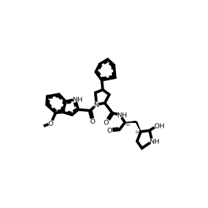 COc1cccc2[nH]c(C(=O)N3CC(c4ccccc4)CC3C(=O)N[C@H](C=O)C[C@@H]3CCNC3O)cc12